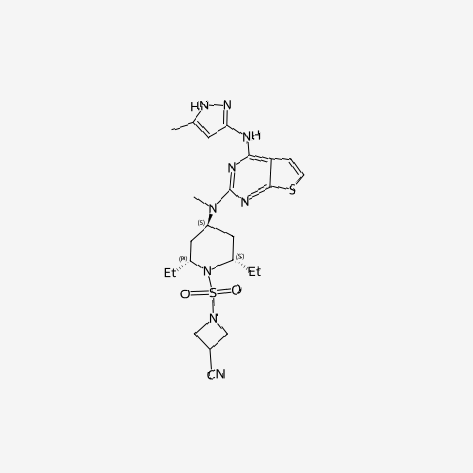 CC[C@@H]1C[C@@H](N(C)c2nc(Nc3cc(C)[nH]n3)c3ccsc3n2)C[C@H](CC)N1S(=O)(=O)N1CC(C#N)C1